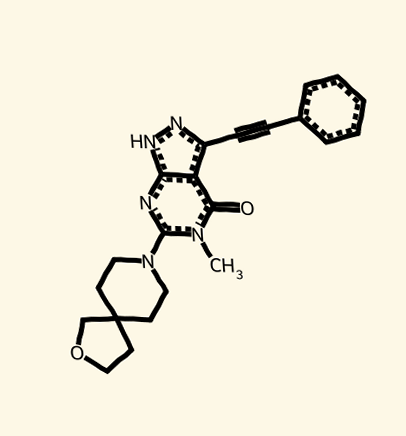 Cn1c(N2CCC3(CCOC3)CC2)nc2[nH]nc(C#Cc3ccccc3)c2c1=O